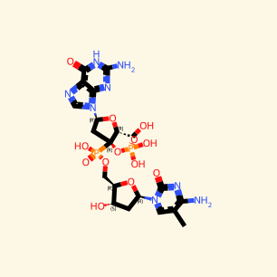 Cc1cn([C@H]2C[C@H](O)[C@@H](COP(=O)(O)[C@]3(OP(=O)(O)O)C[C@H](n4cnc5c(=O)[nH]c(N)nc54)O[C@@H]3CO)O2)c(=O)nc1N